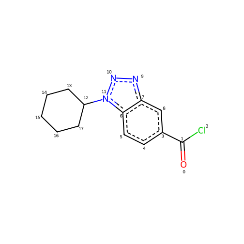 O=C(Cl)c1ccc2c(c1)nnn2C1CCCCC1